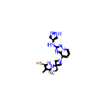 Cc1cn(C2(CC#N)CN(c3cccn4nc(Nc5cn[nH]c5)nc34)C2)nc1S